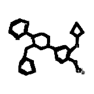 COc1ccc(N2CCN(c3ncccn3)C(Cc3ccccc3)C2)cc1OC1CCC1